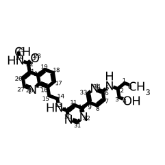 CCC(CO)Nc1ccc(-c2cc(NCCc3cccc4c(C(=O)NC)ccnc34)ncn2)cn1